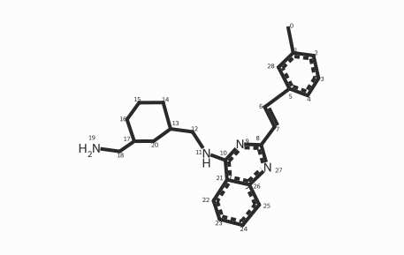 Cc1cccc(/C=C/c2nc(NCC3CCCC(CN)C3)c3ccccc3n2)c1